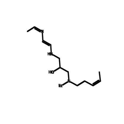 C/C=C\CCN(CC)CC(O)CN/C=C/N=C\C